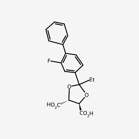 CCC1(c2ccc(-c3ccccc3)c(F)c2)O[C@@H](C(=O)O)[C@H](C(=O)O)O1